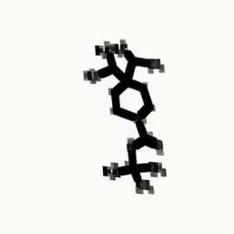 CC(C)C1(C(C)C)CCN(C(=O)OC(C)(C)C)CC1